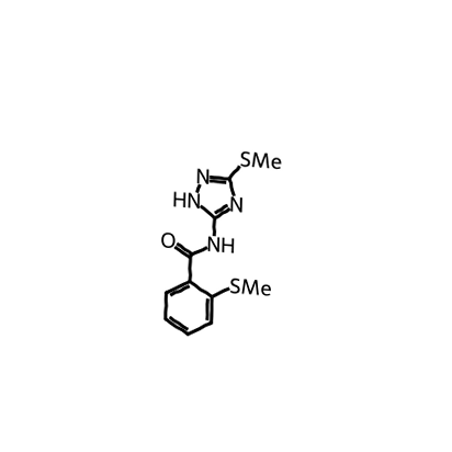 CSc1n[nH]c(NC(=O)c2ccccc2SC)n1